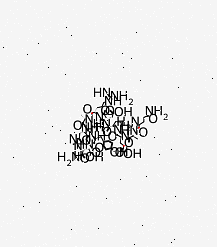 C[C@H](NC(=O)[C@H](CCCNC(=N)N)NC(=O)[C@H](CC(=O)O)NC(=O)[C@@H]1CCCN1C(=O)[C@H](CCC(=O)O)NC(=O)[C@H](C)NC(=O)[C@@H](N)CCC(N)=O)C(=O)N[C@@H](Cc1c[nH]cn1)C(=O)N[C@@H](Cc1ccc(O)cc1)C(=O)N[C@@H](CC(N)=O)C(=O)O